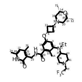 CCN(c1cc(O[C@H]2C[C@H](N3C[C@@H](C)O[C@@H](C)C3)C2)cc(C(=O)NCc2c(C)cc(C)[nH]c2=O)c1C)C1CCN(CC(F)(F)F)CC1